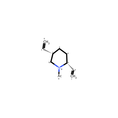 C=C[C@@H]1CC[C@H](C=C)N(C(C)=O)C1